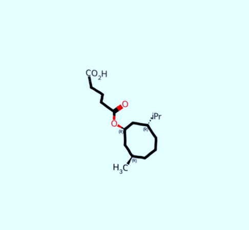 CC(C)[C@@H]1CCC[C@@H](C)C[C@@H](OC(=O)CCCC(=O)O)C1